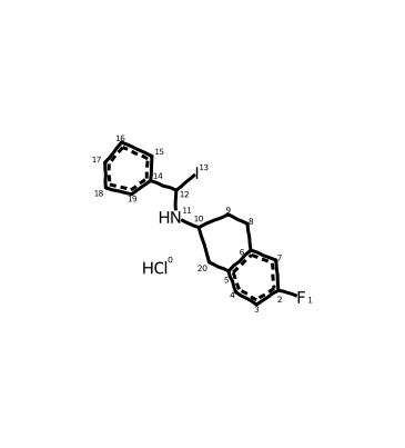 Cl.Fc1ccc2c(c1)CCC(NC(I)c1ccccc1)C2